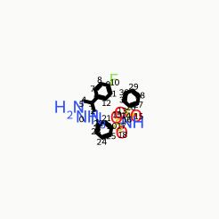 N.N#CC(CN)c1ccc(F)cc1.O=S(=O)(NS(=O)(=O)c1ccccc1)c1ccccc1